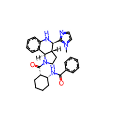 Cn1ccnc1[C@@H]1Nc2ccccc2[C@H]2[C@H]1CCN2C(=O)[C@H]1CCCC[C@H]1NC(=O)c1ccccc1